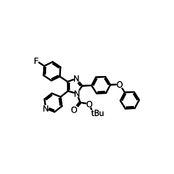 CC(C)(C)OC(=O)n1c(-c2ccc(Oc3ccccc3)cc2)nc(-c2ccc(F)cc2)c1-c1ccncc1